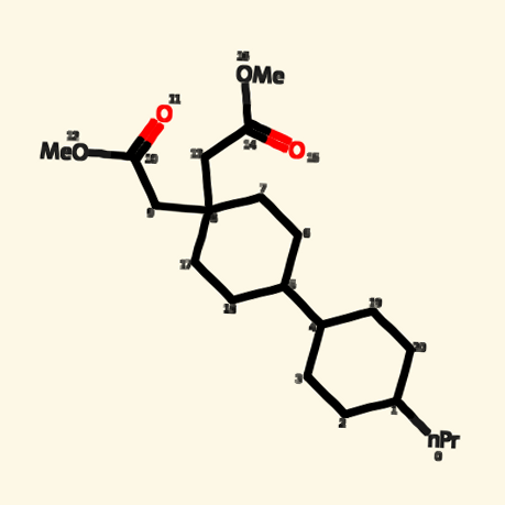 CCCC1CCC(C2CCC(CC(=O)OC)(CC(=O)OC)CC2)CC1